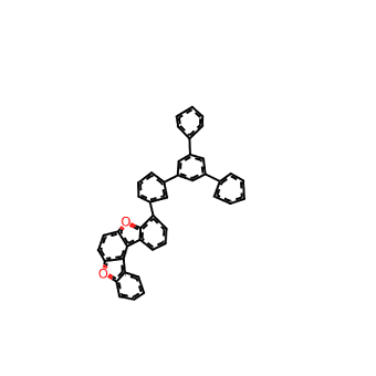 c1ccc(-c2cc(-c3ccccc3)cc(-c3cccc(-c4cccc5c4oc4ccc6oc7ccccc7c6c45)c3)c2)cc1